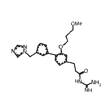 COCCCOc1cc(CCC(=O)NC(=N)N)ccc1-c1cccc(Cn2cncn2)c1